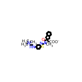 CN(C(=O)C1(CC(=O)[O-])Cc2ccccc2C1)c1nc2cc(NCC[N+](C)(C)C)ccc2s1